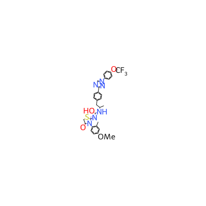 COc1ccc(N2C(=O)CS/C2=N\C(O)NC(C)Cc2ccc(-c3ncn(-c4ccc(OC(F)(F)F)cc4)n3)cc2)c(C)c1